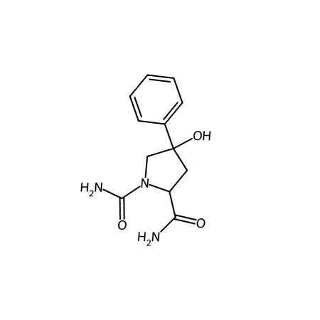 NC(=O)C1CC(O)(c2ccccc2)CN1C(N)=O